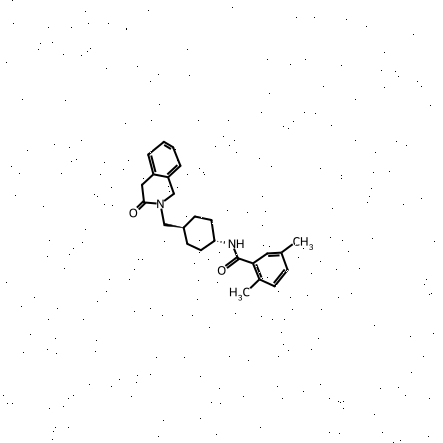 Cc1ccc(C)c(C(=O)N[C@H]2CC[C@H](CN3Cc4ccccc4CC3=O)CC2)c1